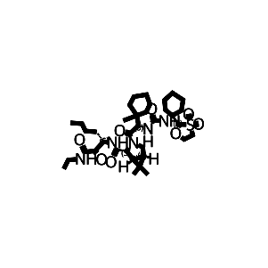 CCCC[C@H](NC(=O)[C@@H]1[C@@H]2[C@H](CN1C(=O)[C@@H](NC(=O)NC1([C@@H]3OCCS3(=O)=O)CCCCC1)C1(C)CCCCC1)C2(C)C)C(=O)C(=O)NCC